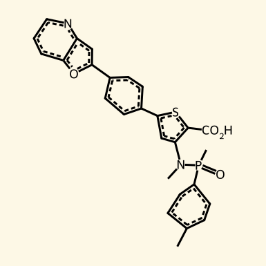 Cc1ccc(P(C)(=O)N(C)c2cc(-c3ccc(-c4cc5ncccc5o4)cc3)sc2C(=O)O)cc1